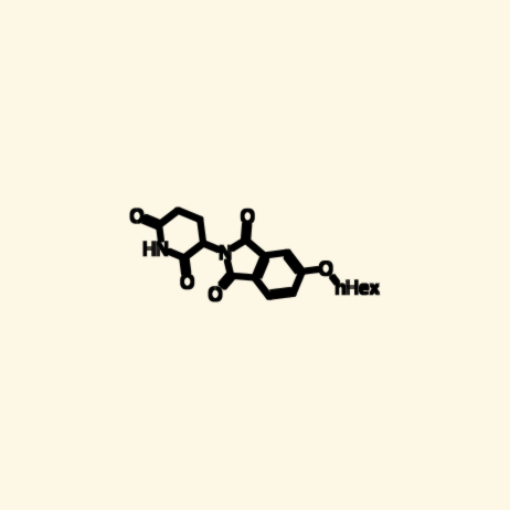 CCCCCCOc1ccc2c(c1)C(=O)N(C1CCC(=O)NC1=O)C2=O